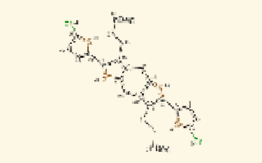 CCCCCCCCCCCCc1c(-c2ccc(Br)s2)sc2cc3c(CCCCCCCCCCCC)c(-c4ccc(Br)s4)sc3cc12